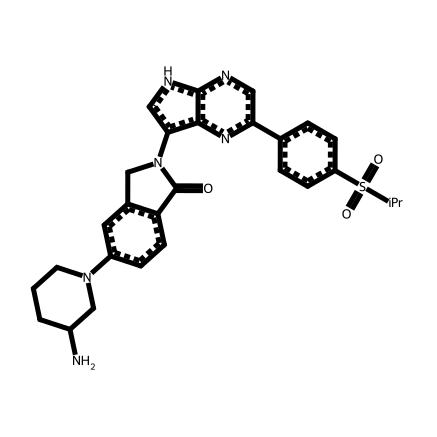 CC(C)S(=O)(=O)c1ccc(-c2cnc3[nH]cc(N4Cc5cc(N6CCCC(N)C6)ccc5C4=O)c3n2)cc1